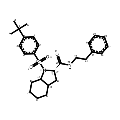 CC(C)(C)c1ccc(S(=O)(=O)N2C3CCCCC3C[C@H]2C(=O)NCCc2ccccc2)cc1